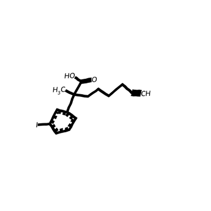 C#CCCCCC(C)(C(=O)O)c1cccc(I)c1